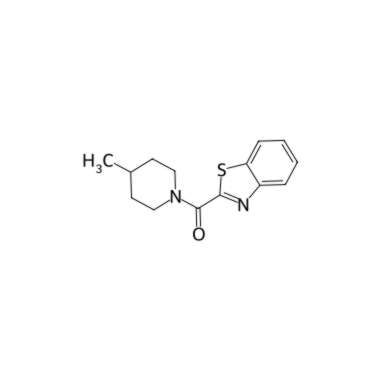 CC1CCN(C(=O)c2nc3ccccc3s2)CC1